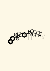 CN(C[C@H]1CC[C@H](CNC(=O)OC(C)(C)C)CC1)S(=O)(=O)c1ccc2ccccc2c1